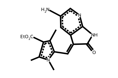 CCOC(=O)c1c(C)c(C=C2C(=O)Nc3ncc(N)cc32)n(C)c1C